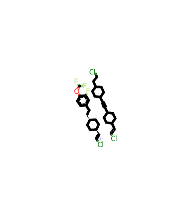 Cl/C=C/C1CCC(C#CC2CCC(CCCl)CC2)CC1.Fc1cc(CC[C@H]2CC[C@H](/C=C/Cl)CC2)ccc1OC(F)F